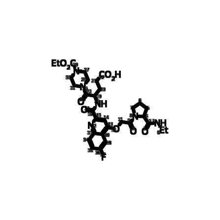 CCNC(=O)C1CCCN1C(=O)COc1cc(C(=O)NC(CCC(=O)O)C(=O)N2CCN(C(=O)OCC)CC2)nc2ccc(F)cc12